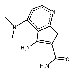 CN(C)c1ccnc2c1C(N)=C(C(N)=O)C2